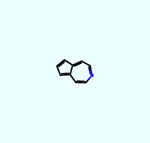 c1cc2ccnccc-2c1